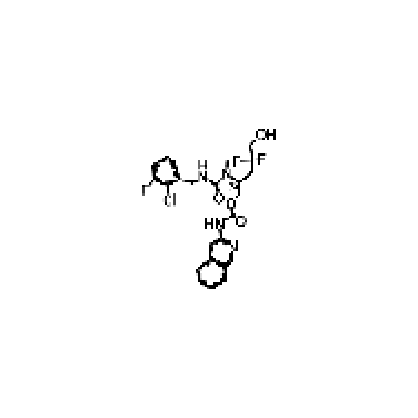 CN(C(=O)NCc1cccc(F)c1Cl)[C@H](COC(=O)Nc1cc2ccccc2cn1)CC(F)(F)CO